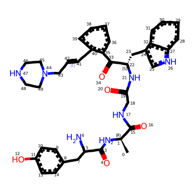 C[C@@H](NC(=O)C(N)Cc1ccc(O)cc1)C(=O)NCC(=O)N[C@@H](Cc1c[nH]c2ccccc12)C(=O)c1ccccc1/C=C/CN1CCNCC1